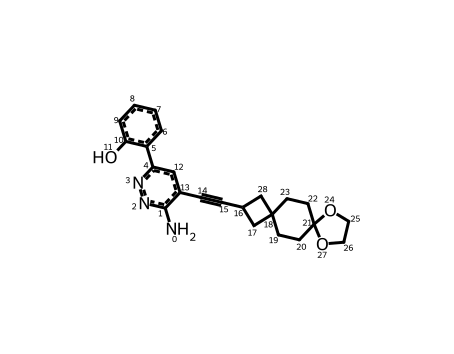 Nc1nnc(-c2ccccc2O)cc1C#CC1CC2(CCC3(CC2)OCCO3)C1